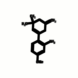 C=C1CC(c2ccc(OC)cc2N)=CC(C)(C)C1